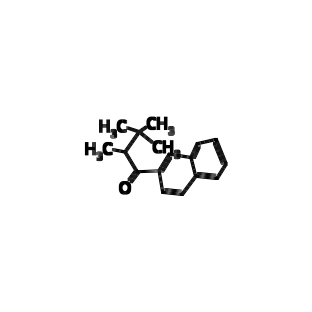 CC(C(=O)c1ccc2ccccc2c1)C(C)(C)C